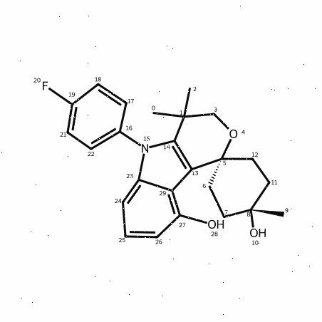 CC1(C)CO[C@]2(CC[C@@](C)(O)CC2)c2c1n(-c1ccc(F)cc1)c1cccc(O)c12